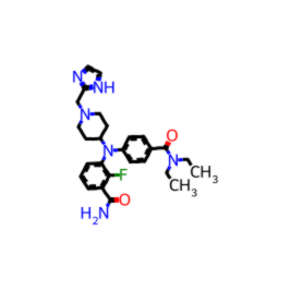 CCN(CC)C(=O)c1ccc(N(c2cccc(C(N)=O)c2F)C2CCN(Cc3ncc[nH]3)CC2)cc1